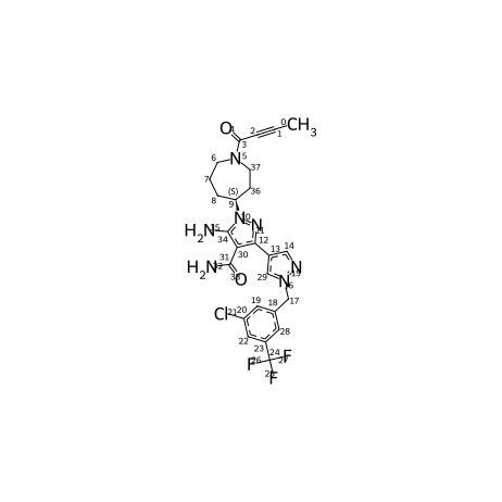 CC#CC(=O)N1CCC[C@H](n2nc(-c3cnn(Cc4cc(Cl)cc(C(F)(F)F)c4)c3)c(C(N)=O)c2N)CC1